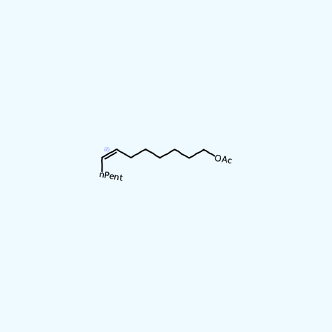 CCCCC/C=C\CCCCCCOC(C)=O